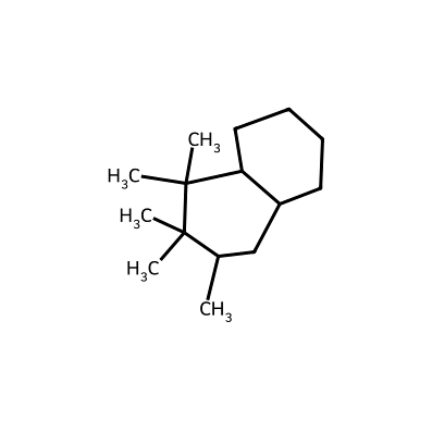 CC1CC2CCCCC2C(C)(C)C1(C)C